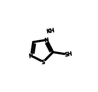 Sc1ncns1.[KH]